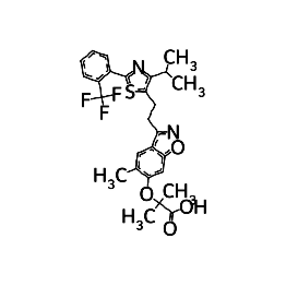 Cc1cc2c(CCc3sc(-c4ccccc4C(F)(F)F)nc3C(C)C)noc2cc1OC(C)(C)C(=O)O